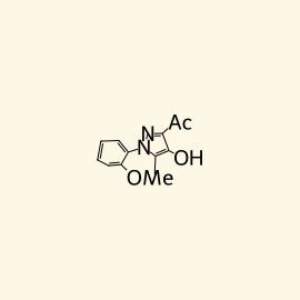 COc1ccccc1-n1nc(C(C)=O)c(O)c1C